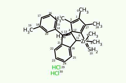 CC1=C(C)C(C)[C]([Zr]([CH3])([CH3])(=[SiH2])[CH]2C=C(c3cccc(C)c3)c3ccccc32)=C1C.Cl.Cl